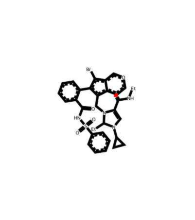 CCNC(=O)C1=CN(C2CC2)C(CC)N1Cc1c2ccocc-2c(Br)c1-c1ccccc1C(=O)NS(=O)(=O)c1ccccc1